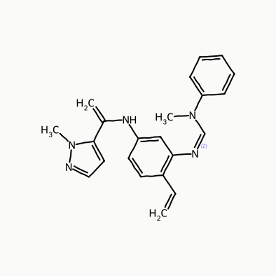 C=Cc1ccc(NC(=C)c2ccnn2C)cc1/N=C\N(C)c1ccccc1